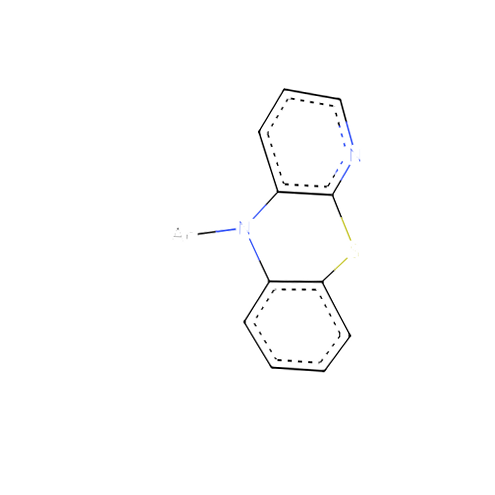 CC(=O)N1c2ccccc2Sc2ncccc21